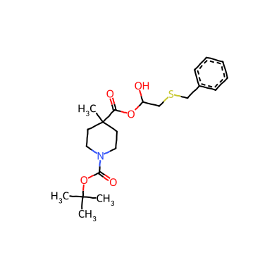 CC(C)(C)OC(=O)N1CCC(C)(C(=O)OC(O)CSCc2ccccc2)CC1